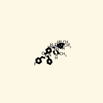 C[C@@H]1[C@@H](/N=C(/Nc2ccc3c(=O)n(CCc4ccc(F)cc4)c(-c4ccccc4)nc3c2)N2CCN[C@@H](C)C2)C[C@H]2C[C@@H]1C2(C)C